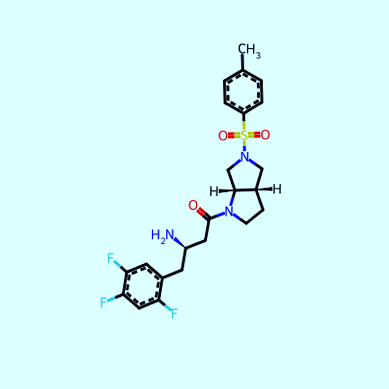 Cc1ccc(S(=O)(=O)N2C[C@@H]3CCN(C(=O)C[C@H](N)Cc4cc(F)c(F)cc4F)[C@@H]3C2)cc1